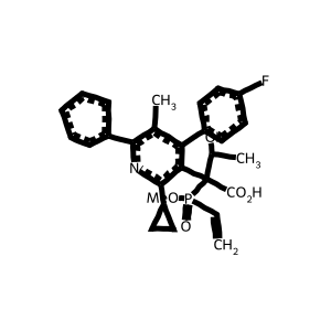 C=CP(=O)(OC)C(C(=O)O)(c1c(C2CC2)nc(-c2ccccc2)c(C)c1-c1ccc(F)cc1)C(C)O